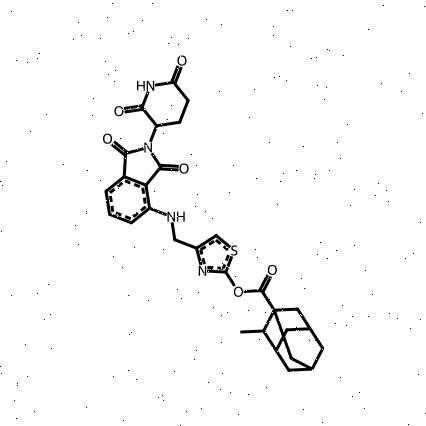 CC1C2CC3CC(C2)CC1(C(=O)Oc1nc(CNc2cccc4c2C(=O)N(C2CCC(=O)NC2=O)C4=O)cs1)C3